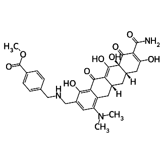 COC(=O)c1ccc(CNCc2cc(N(C)C)c3c(c2O)C(=O)C2=C(O)[C@]4(O)C(=O)C(C(N)=O)=C(O)C[C@@H]4C[C@@H]2C3)cc1